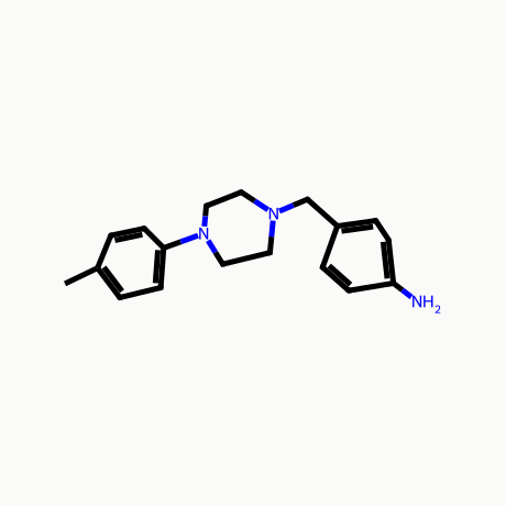 Cc1ccc(N2CCN(Cc3ccc(N)cc3)CC2)cc1